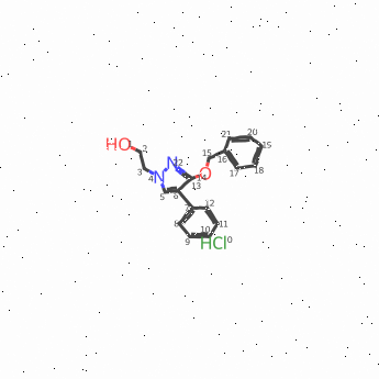 Cl.OCCn1cc(-c2ccccc2)c(OCc2ccccc2)n1